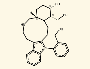 OCc1ccccc1-n1c2c(c3ccccc31)CCNC[C@@H]1CC[C@H](O)[C@H](CO)C1CC2